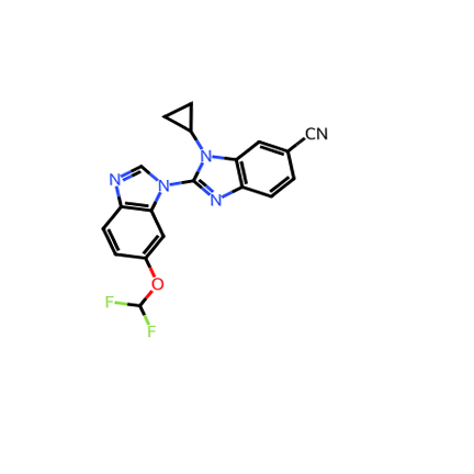 N#Cc1ccc2nc(-n3cnc4ccc(OC(F)F)cc43)n(C3CC3)c2c1